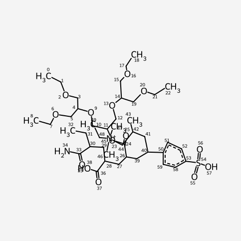 CCOCC(COCC)OCC(COC(COCC)COCC)OC(=O)C(CC(CC(CC)C(N)=O)C(=O)O)CC(CC(C)C[N+](C)(C)CC)c1ccc(S(=O)(=O)O)cc1